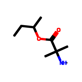 CCC(C)OC(=O)C(C)(C)[NH]